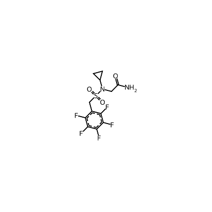 NC(=O)CN(C1CC1)S(=O)(=O)Cc1c(F)c(F)c(F)c(F)c1F